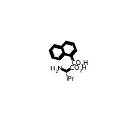 CC(C)[C@H](N)C(=O)O.O=C(O)c1cccc2ccccc12